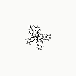 CC1C=CC=C2c3ccc4c(c3-c3ccccc3C21)c1cc2ccccc2cc1n4-c1nc2ccccc2nc1-c1cccc2c1sc1ccccc12